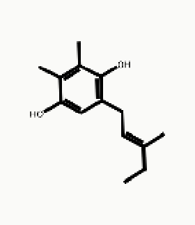 CC/C(C)=C/Cc1cc(O)c(C)c(C)c1O